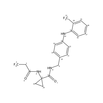 O=C(CC(F)(F)F)NC1(C(=O)NCc2ccc(Nc3ccccc3C(F)(F)F)cc2)CC1